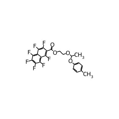 Cc1ccc(OC(C)OCCOC(=O)c2c(F)c(F)c3c(F)c(F)c(F)c(F)c3c2F)cc1